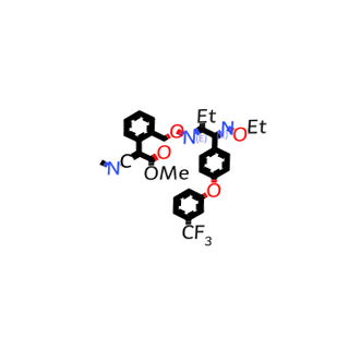 CCO/N=C(/C(CC)=N/OCc1ccccc1C(=C=NC)C(=O)OC)c1ccc(Oc2cccc(C(F)(F)F)c2)cc1